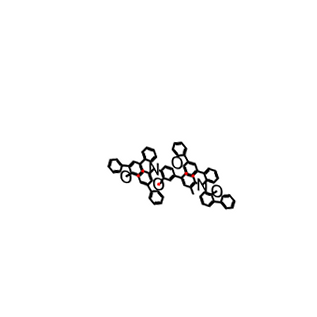 Cc1cc(-c2ccc(N(c3ccccc3-c3ccc4oc5ccccc5c4c3)c3cccc4c3oc3ccccc34)c(C)c2)ccc1N(c1ccccc1-c1ccc2oc3ccccc3c2c1)c1cccc2c1oc1ccccc12